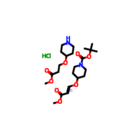 COC(=O)/C=C/OC1CCN(C(=O)OC(C)(C)C)CC1.COC(=O)CCOC1CCNCC1.Cl